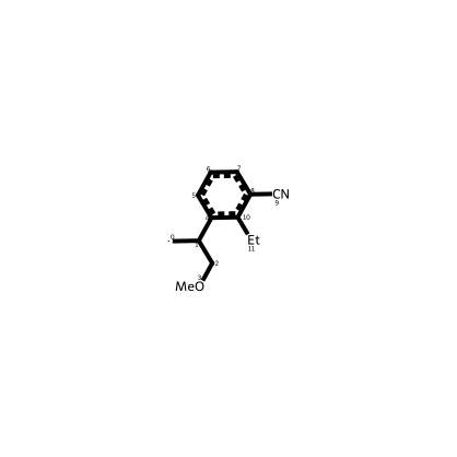 [CH2]C(COC)c1cccc(C#N)c1CC